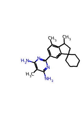 Cc1cc(-c2nc(N)c(C)c(N)n2)cc2c1C(C)CC21CCCCC1